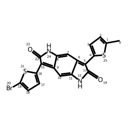 Cc1ccc(C2=c3cc4c(cc3NC2=O)=C(c2ccc(Br)s2)C(=O)N4)s1